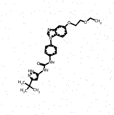 CCOCCOc1ccc2c(c1)ncn2-c1ccc(NC(=O)Nc2cc(C(C)(C)C)n[nH]2)cc1